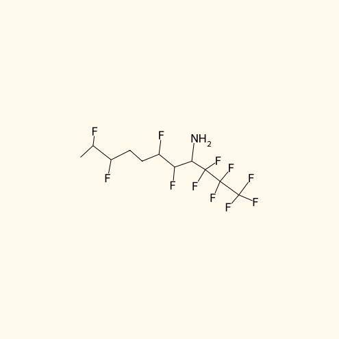 CC(F)C(F)CCC(F)C(F)C(N)C(F)(F)C(F)(F)C(F)(F)F